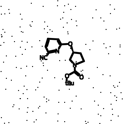 CC(C)(C)OC(=O)N1CC[C@H](Oc2cccc(C#N)n2)C1